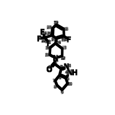 O=C(c1n[nH]c2c1CCCC2)N1CCC(c2c(F)cccc2C(F)(F)F)CC1